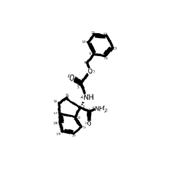 NC(=O)[C@]1(NC(=O)OCc2ccccc2)CCc2ccccc21